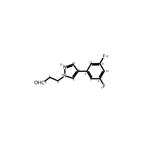 O=CCCn1cc(-c2cc(F)cc(F)c2)cn1